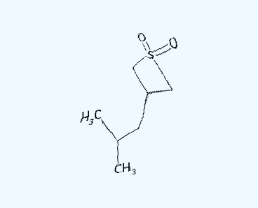 CC(C)CC1CS(=O)(=O)C1